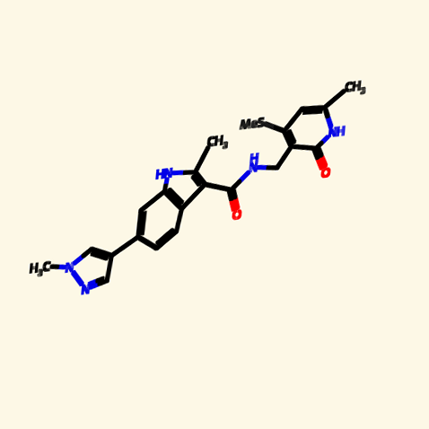 CSc1cc(C)[nH]c(=O)c1CNC(=O)c1c(C)[nH]c2cc(-c3cnn(C)c3)ccc12